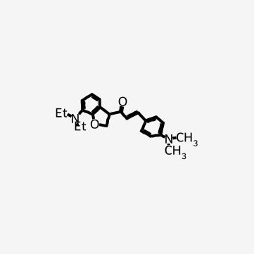 CCN(CC)c1cccc2c1OCC2C(=O)C=Cc1ccc(N(C)C)cc1